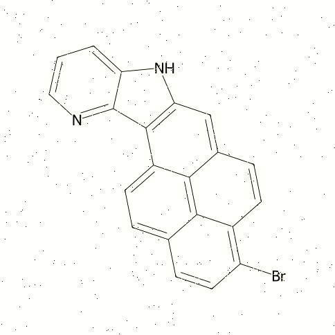 Brc1ccc2ccc3c4c(cc5ccc1c2c53)[nH]c1cccnc14